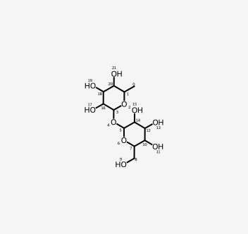 CC1OC(OC2OC(CO)C(O)C(O)C2O)C(O)C(O)C1O